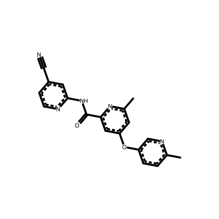 Cc1ccc(Oc2cc(C)nc(C(=O)Nc3cc(C#N)ccn3)c2)cn1